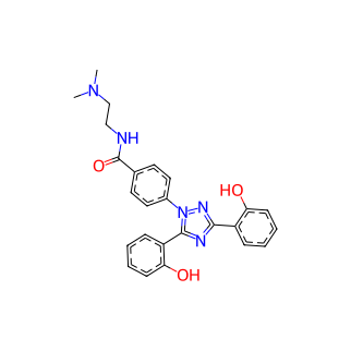 CN(C)CCNC(=O)c1ccc(-n2nc(-c3ccccc3O)nc2-c2ccccc2O)cc1